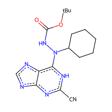 CC(C)(C)OC(=O)NN(c1[nH]c(C#N)nc2ncnc1-2)C1CCCCC1